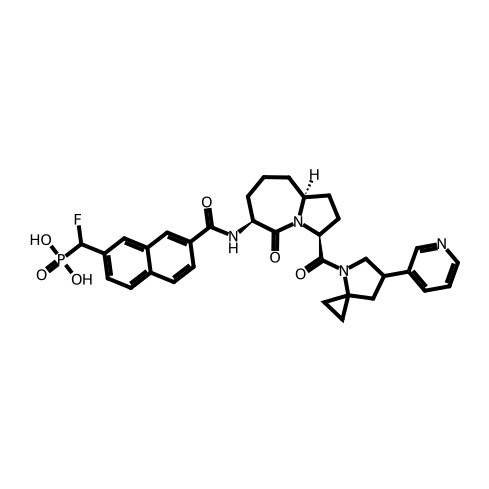 O=C(N[C@H]1CCC[C@H]2CC[C@@H](C(=O)N3CC(c4cccnc4)CC34CC4)N2C1=O)c1ccc2ccc(C(F)P(=O)(O)O)cc2c1